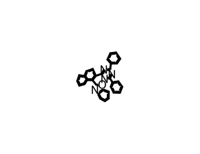 c1ccc(-c2nc(-c3ccccc3)nc(-c3ccc4ccccc4c3-c3nc4ccccc4o3)n2)cc1